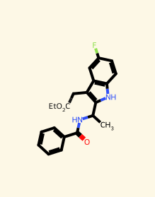 CCOC(=O)Cc1c(C(C)NC(=O)c2ccccc2)[nH]c2ccc(F)cc12